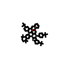 Cc1cc2c3c(c1)N(c1ccc(C(C)(C)C)cc1)c1c(oc4ccc(C(C)(C)C)cc14)B3c1cc3c(cc1N2c1ccc(C(C)(C)C)cc1-c1ccc2ccccc2c1)C(C)(C)CCC3(C)C